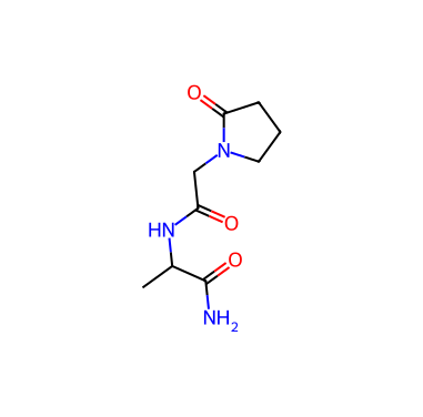 CC(NC(=O)CN1CCCC1=O)C(N)=O